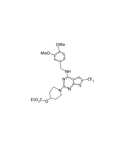 CCOC(=O)OC1CCN(c2nc(NCc3ccc(OC)c(OC)c3)c3cc(C(F)(F)F)sc3n2)CC1